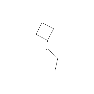 [CH2]CC.[CH]1CCC1